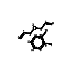 C=CCOCC=C.Cc1ccccc1C